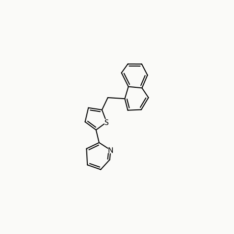 c1ccc(-c2ccc(Cc3cccc4ccccc34)s2)nc1